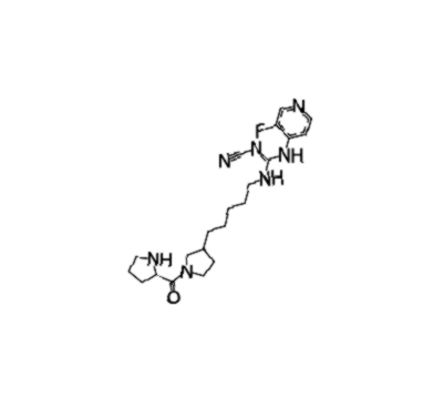 N#CN=C(NCCCCCC1CCN(C(=O)C2CCCN2)C1)Nc1ccncc1F